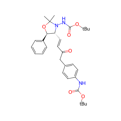 CC(C)(C)OC(=O)Nc1ccc(CC(=O)/C=C/[C@@H]2[C@@H](c3ccccc3)OC(C)(C)N2NC(=O)OC(C)(C)C)cc1